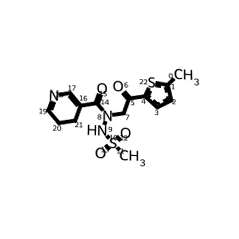 Cc1ccc(C(=O)CN(NS(C)(=O)=O)C(=O)C2=CN=CCC2)s1